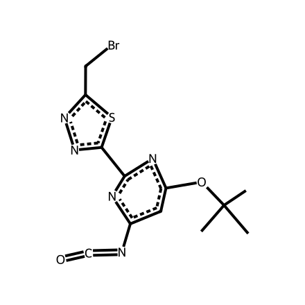 CC(C)(C)Oc1cc(N=C=O)nc(-c2nnc(CBr)s2)n1